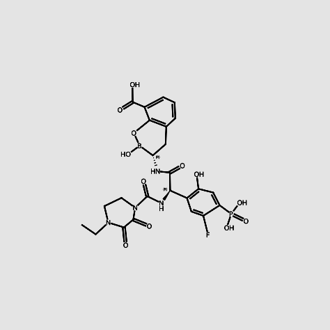 CCN1CCN(C(=O)N[C@@H](C(=O)N[C@H]2Cc3cccc(C(=O)O)c3OB2O)c2cc(F)c(P(=O)(O)O)cc2O)C(=O)C1=O